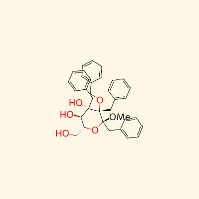 CO[C@@]1(Cc2ccccc2)O[C@H](CO)[C@@H](O)[C@@](O)(Cc2ccccc2)[C@]1(Cc1ccccc1)OCc1ccccc1